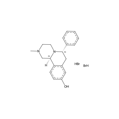 Br.Br.CN1CCN2[C@H](C1)c1ccc(O)cc1C[C@H]2c1ccccc1